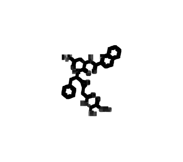 CC[C@H](C)[C@H](NC(=O)CC1OC1C(Cc1ccccc1)NC(=O)[C@@H](CC(N)=O)NC(=O)c1ccc2ccccc2n1)C(=O)OC